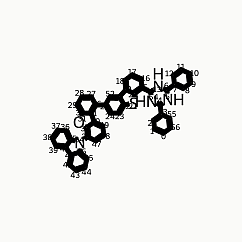 c1ccc(C2NC(c3ccccc3)NC(c3cccc4c3sc3ccc(-c5cccc6oc7c(-n8c9ccccc9c9ccccc98)cccc7c56)cc34)N2)cc1